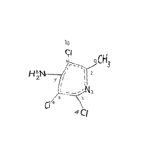 Cc1nc(Cl)c(Cl)c(N)c1Cl